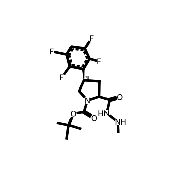 CNNC(=O)C1C[C@H](c2c(F)c(F)cc(F)c2F)CN1C(=O)OC(C)(C)C